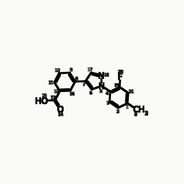 Cc1ccc(-n2cc(-c3cccc(C(=O)O)c3)cn2)c(F)c1